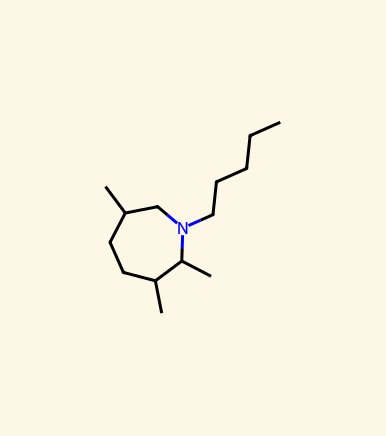 CCCCCN1CC(C)CCC(C)C1C